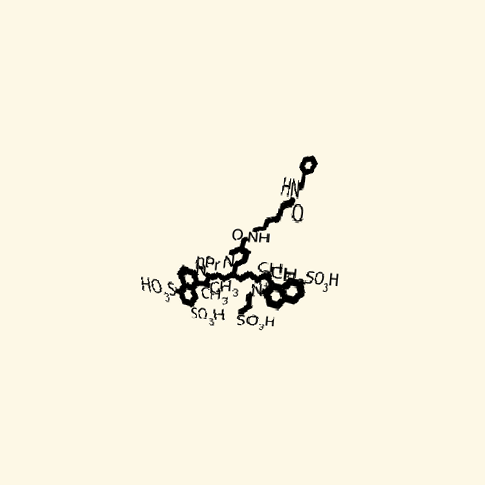 CCCN1/C(=C/C=C(/C=C/C2=[N+](CCCS(=O)(=O)O)c3ccc4ccc(S(=O)(=O)O)cc4c3C2(C)C)c2ccc(C(=O)NCCCCCC(=O)NCc3ccccc3)cn2)C(C)(C)c2c1ccc1c(S(=O)(=O)O)cc(S(=O)(=O)O)cc21